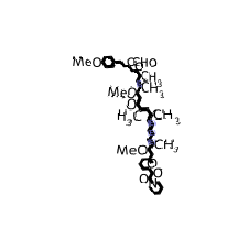 COC1CCC(CCC(CC(=O)C(C)/C=C(\C)C(CC(=O)C(C)CC(C)/C=C/C=C/C=C(\C)C(CC2CCCC(C(=O)C(=O)N3CCCCC3)O2)OC)OC)OC=O)CC1